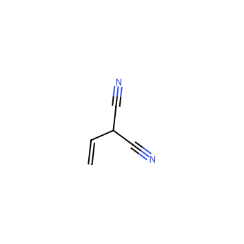 [CH]=CC(C#N)C#N